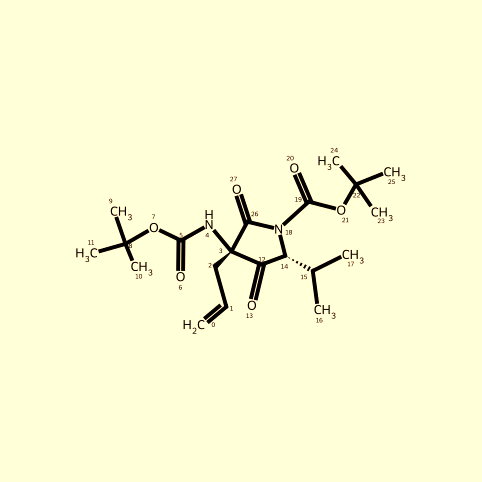 C=CC[C@]1(NC(=O)OC(C)(C)C)C(=O)[C@@H](C(C)C)N(C(=O)OC(C)(C)C)C1=O